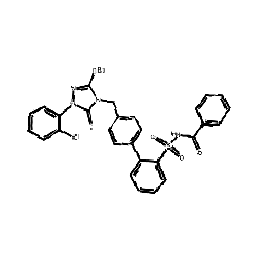 CCCCc1nn(-c2ccccc2Cl)c(=O)n1Cc1ccc(-c2ccccc2S(=O)(=O)NC(=O)c2ccccc2)cc1